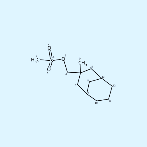 CC1(COS(C)(=O)=O)CC2CCCC(C2)C1